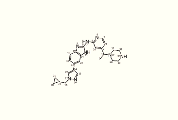 CC(c1ccnc(Nc2nc3ccc(-c4cnn(CC5CC5)c4)cc3[nH]2)c1)N1CCNCC1